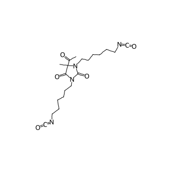 CC(=O)C1(C)C(=O)N(CCCCCCN=C=O)C(=O)N1CCCCCCN=C=O